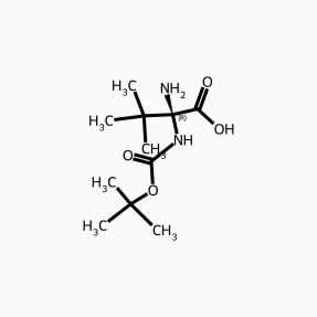 CC(C)(C)OC(=O)N[C@@](N)(C(=O)O)C(C)(C)C